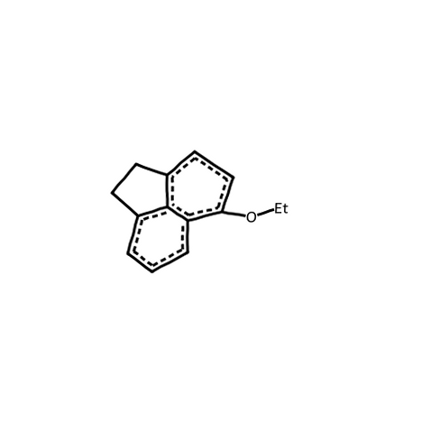 CCOc1ccc2c3c(cccc13)CC2